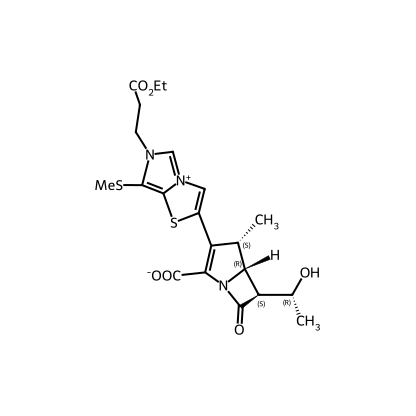 CCOC(=O)CCn1c[n+]2cc(C3=C(C(=O)[O-])N4C(=O)[C@H]([C@@H](C)O)[C@H]4[C@H]3C)sc2c1SC